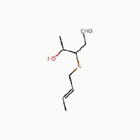 C/C=C/CSC(CC=O)C(C)O